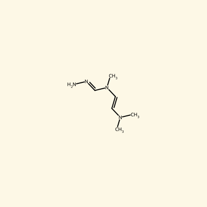 CN(C)/C=C/N(C)C=NN